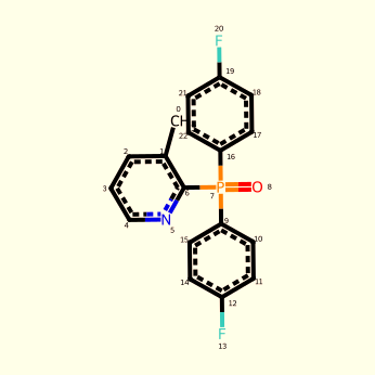 Cc1cccnc1P(=O)(c1ccc(F)cc1)c1ccc(F)cc1